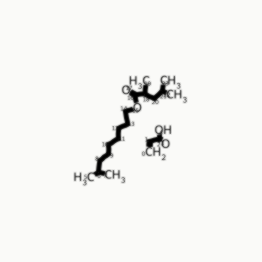 C=CC(=O)O.CC(C)CCCCCCCOC(=O)C(C)CC(C)C